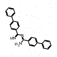 N=C(/N=C(\N)c1ccc(-c2ccccc2)cc1)c1ccc(-c2ccccc2)cc1